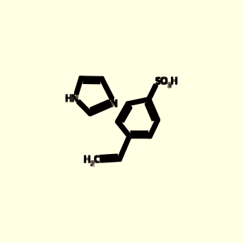 C=Cc1ccc(S(=O)(=O)O)cc1.c1c[nH]cn1